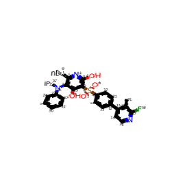 CCCCc1nc(O)c(S(=O)(=O)c2ccc(-c3ccnc(F)c3C)cc2)c(O)c1N(c1ccccc1)C(C)C